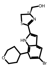 OC[C@@H]1CSC(c2cc3cc(Br)cc(C4CCOCC4)c3[nH]2)=N1